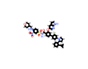 O=C(NS(=O)(=O)c1ccc(NCC2CCOCC2)c([N+](=O)[O-])c1)c1ccc(-c2ccc(N3CCCC3c3ccccc3C3CC3)cc2F)cc1Oc1cnc2[nH]ccc2c1